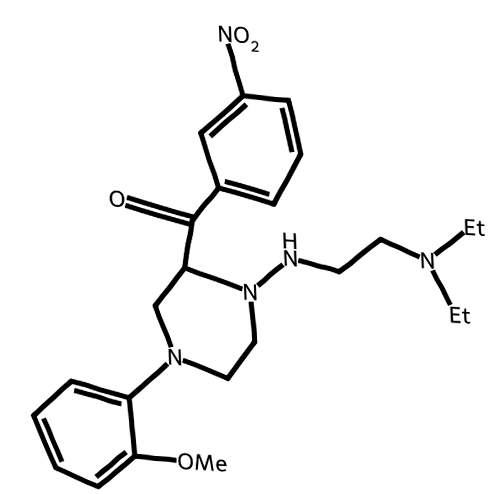 CCN(CC)CCNN1CCN(c2ccccc2OC)CC1C(=O)c1cccc([N+](=O)[O-])c1